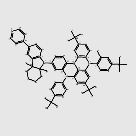 Cc1cc(C(C)(C)C)ccc1N1c2ccc(C(C)(C)C)cc2B2c3ccc(N4c5ccc(-c6ccncc6)cc5C5(C)CCCCC45C)cc3N(c3ccc(C(C)(C)C)cc3)c3cc(C(C)(C)C)cc1c32